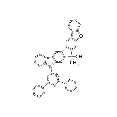 CC1(C)c2cc3oc4ccccc4c3cc2-c2cc3c4ccccc4n(-c4cc(-c5ccccc5)nc(-c5ccccc5)n4)c3cc21